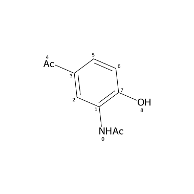 CC(=O)Nc1cc(C(C)=O)ccc1O